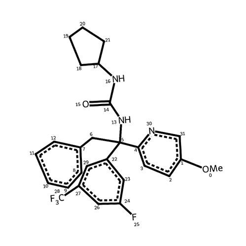 COc1ccc(C(Cc2ccccc2)(NC(=O)NC2CCCC2)c2cc(F)cc(C(F)(F)F)c2)nc1